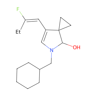 CC/C(F)=C\C1=CN(CC2CCCCC2)C(O)C12CC2